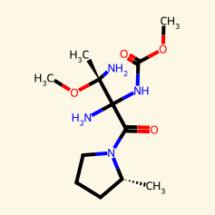 COC(=O)NC(N)(C(=O)N1CCC[C@H]1C)[C@@](C)(N)OC